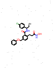 CC(C)CC(NC(=O)c1cc(COc2ccccc2)ccc1CCC(=O)NO)c1ccc(F)cc1